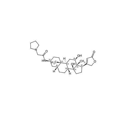 C[C@]12CC[C@H](NC(=O)CN3CCCC3)C[C@H]1CC[C@@H]1[C@@H]2C[C@@H](O)[C@]2(C)[C@@H](C3=CC(=O)OC3)CC[C@]12O